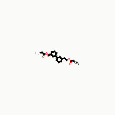 C=CC(=O)OCCc1cccc(-c2cccc(COC(=O)C=C)c2)c1